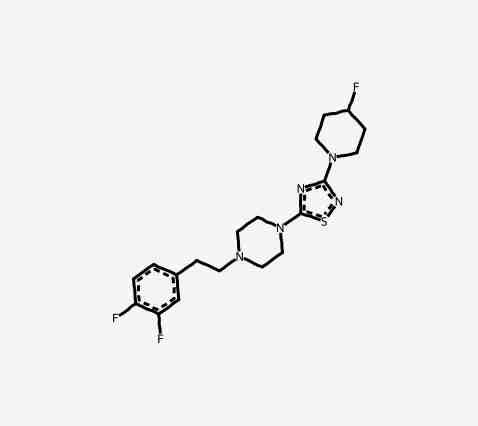 Fc1ccc(CCN2CCN(c3nc(N4CCC(F)CC4)ns3)CC2)cc1F